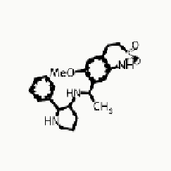 COc1cc2c(cc1C(C)NC1CCCNC1c1ccccc1)NS(=O)(=O)CC2